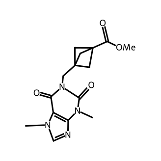 COC(=O)C12CC(Cn3c(=O)c4c(ncn4C)n(C)c3=O)(C1)C2